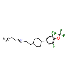 CCC/C=C/CC[C@H]1CC[C@H](c2cc(F)c(OC(F)(F)F)c(F)c2)CC1